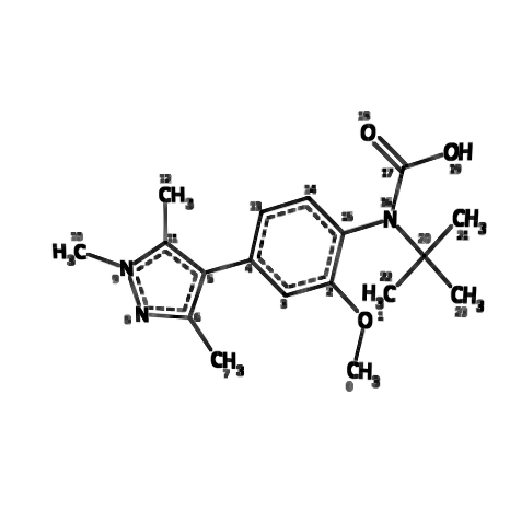 COc1cc(-c2c(C)nn(C)c2C)ccc1N(C(=O)O)C(C)(C)C